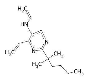 C=CNc1cnc(C(C)(C)CCCC)nc1C=C